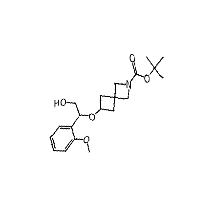 COc1ccccc1C(CO)OC1CC2(C1)CN(C(=O)OC(C)(C)C)C2